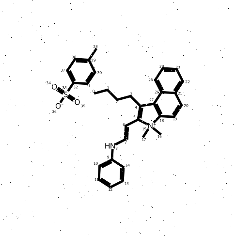 CCCCC1=C(C=CNc2ccccc2)[N+](C)(C)c2ccc3ccccc3c21.Cc1ccc(S(=O)(=O)[O-])cc1